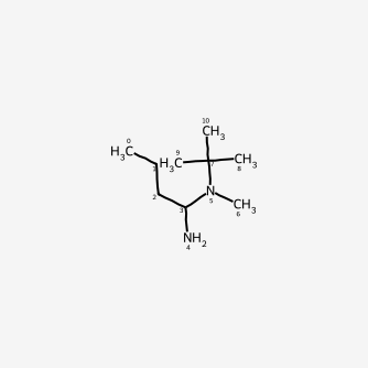 CCCC(N)N(C)C(C)(C)C